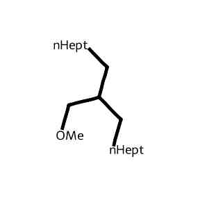 CCCCCCCCC(CCCCCCCC)COC